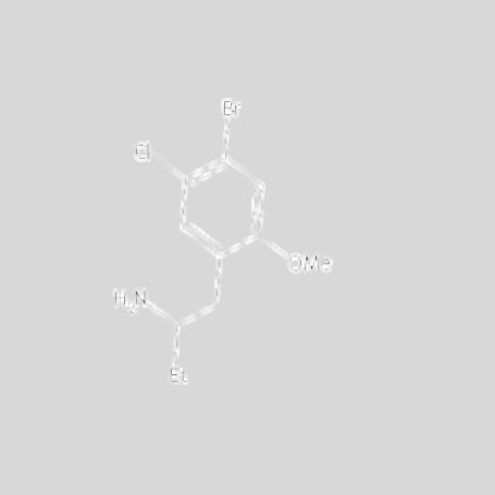 CCC(N)Cc1cc(Cl)c(Br)cc1OC